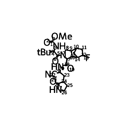 COC(=O)NC(C(=O)N1CC2C3CC(F)C(C3)C2C1C(=O)NC(C#N)CC1CCNC1=O)C(C)(C)C